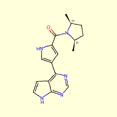 C[C@@H]1CC[C@H](C)N1C(=O)c1cc(-c2ncnc3[nH]ccc23)c[nH]1